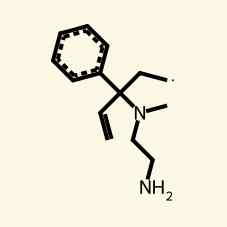 [CH2]CC(C=C)(c1ccccc1)N(C)CCN